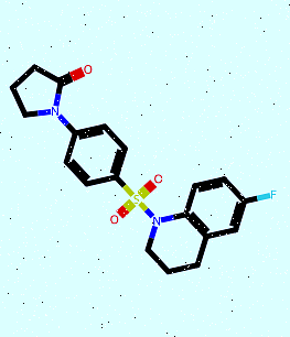 O=C1CCCN1c1ccc(S(=O)(=O)N2CCCc3cc(F)ccc32)cc1